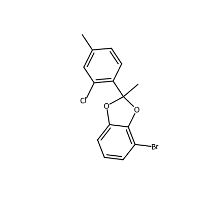 Cc1ccc(C2(C)Oc3cccc(Br)c3O2)c(Cl)c1